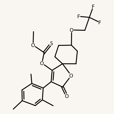 COC(=S)OC1=C(c2c(C)cc(C)cc2C)C(=O)OC12CCC(OCC(F)(F)F)CC2